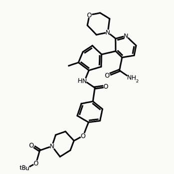 Cc1ccc(-c2c(C(N)=O)ccnc2N2CCOCC2)cc1NC(=O)c1ccc(OC2CCN(C(=O)OC(C)(C)C)CC2)cc1